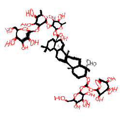 CC1OC(OC2C(OC(=O)[C@]34CCC(C)(C)CC3C3=CCC5[C@@]6(C)CC[C@H](OC(OC7OCC(O)C(O)C7O)OC7OC(CO)C(O)C(O)C7O)[C@@](C)(C=O)C6CC[C@@]5(C)[C@]3(C)C[C@H]4O)OC(C)C(O)C2O)C(OC2OC(CO)C(O)C(O)C2O)C(O)C1O